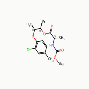 Cc1ccc(O[C@@H](C)[C@H](OC(=O)[C@H](C)NC(=O)OC(C)(C)C)C(C)C)c(Cl)c1